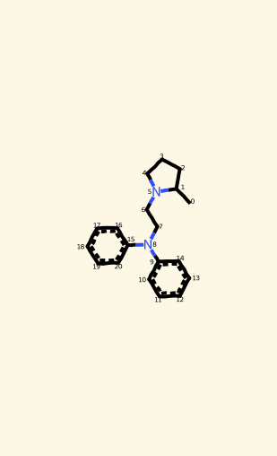 CC1CCCN1CCN(c1ccccc1)c1ccccc1